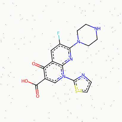 O=C(O)c1cn(-c2nccs2)c2nc(N3CCNCC3)c(F)cc2c1=O